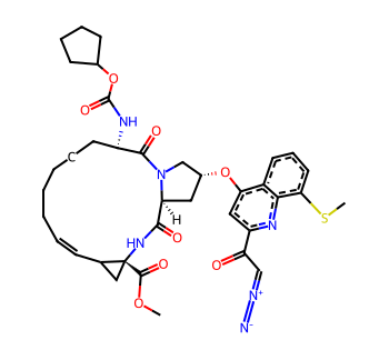 COC(=O)[C@@]12CC1/C=C\CCCCC[C@H](NC(=O)OC1CCCC1)C(=O)N1C[C@H](Oc3cc(C(=O)C=[N+]=[N-])nc4c(SC)cccc34)C[C@H]1C(=O)N2